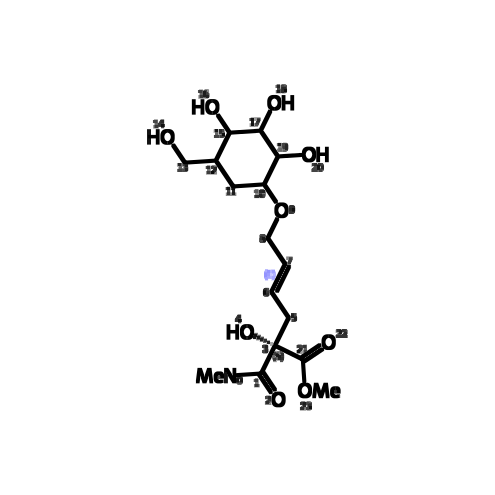 CNC(=O)[C@@](O)(C/C=C/COC1CC(CO)C(O)C(O)C1O)C(=O)OC